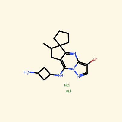 CC1Cc2c(nc3c(Br)cnn3c2NC2CC(N)C2)C12CCCC2.Cl.Cl